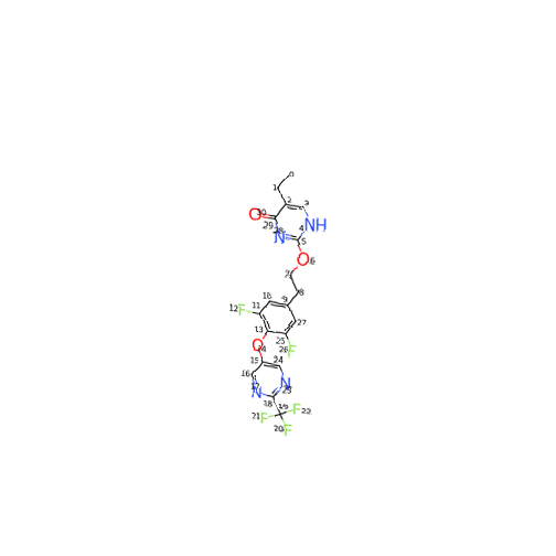 CCc1c[nH]c(OCCc2cc(F)c(Oc3cnc(C(F)(F)F)nc3)c(F)c2)nc1=O